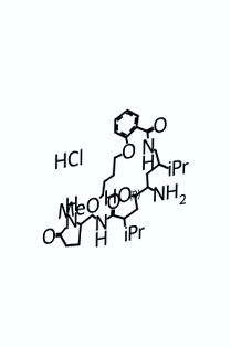 COCCCCOc1ccccc1C(=O)NCC(CC(N)[C@H](O)CC(C(=O)NCC1CCC(=O)N1)C(C)C)C(C)C.Cl